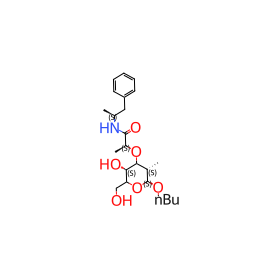 CCCCO[C@H]1OC(CO)[C@@H](O)C(O[C@@H](C)C(=O)N[C@@H](C)Cc2ccccc2)[C@@H]1C